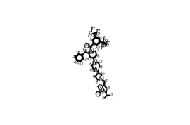 CC(C)N1CC(CN2CCC(N3CCN(C4CCN(C(=O)c5cc(C(F)(F)F)cc(C(F)(F)F)c5)C(Cc5ccccc5)C4)CC3)C2)OC1=O